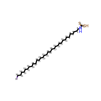 S=C(S)NCCCCCCCCCCCCCCCCCCCCCCCCCCCCCCCCCI